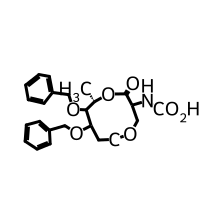 C[C@@H]1OC(=O)C(NC(=O)O)COCCC(OCc2ccccc2)C1OCc1ccccc1